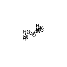 C/C=N\c1c(C)cccc1S(=O)(=O)Nc1ccc(C(=O)N2CCC(O)(c3cccc(OC(F)(F)F)c3)CC2)cc1